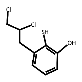 Oc1cccc(CC(Cl)CCl)c1S